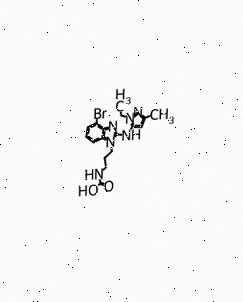 CCn1nc(C)cc1Nc1nc2c(Br)cccc2n1CCCNC(=O)O